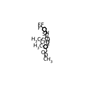 CCOC(=O)Cc1cc(C)cc(CN2CCN(c3nc4ccc(C(F)(F)F)cc4s3)[C@H](CC(C)C)C2)c1